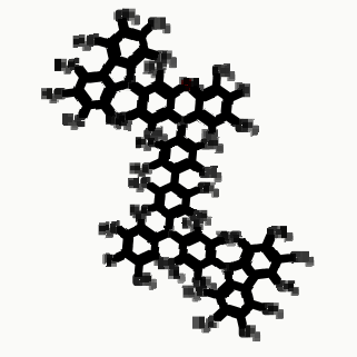 [3H]c1c(C)c([3H])c(N(c2c(C)c(C)c(-c3c(C)c(C)c(N(c4c([3H])c(C)c([3H])c(C)c4[3H])c4c(C)c(C)c(-n5c6c(C)c(C)c(C)c(C)c6c6c(C)c(C)c(C)c(C)c65)c(C)c4C)c(C)c3C)c(C)c2C)c2c(C)c(C)c(-n3c4c(C)c(C)c(C)c(C)c4c4c(C)c(C)c(C)c(C)c43)c(C)c2C)c([3H])c1C